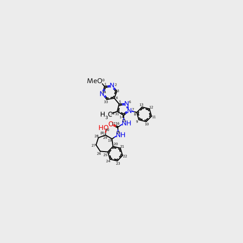 COc1ncc(-c2nn(-c3ccccc3)c(NC(=O)NC3c4ccccc4CCC[C@H]3O)c2C)cn1